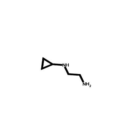 NCCNC1CC1